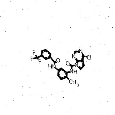 Cc1ccc(NC(=O)c2cccc(C(F)(F)F)c2)cc1NC(=O)n1ccc2c(Cl)ncnc21